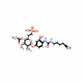 C#CCCCCNC(=O)Nc1ccc(O[C@H]2O[C@H](CCP(=O)(O)O)[C@@H](OC(C)=O)[C@H](C)[C@@H]2C)cc1O